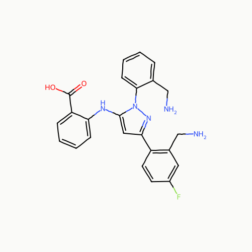 NCc1cc(F)ccc1-c1cc(Nc2ccccc2C(=O)O)n(-c2ccccc2CN)n1